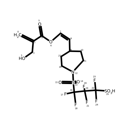 C=C(CO)C(=O)O/C=C\C1CCN(S(=O)(=O)C(F)(F)C(F)(F)C(F)(F)S(=O)(=O)O)CC1